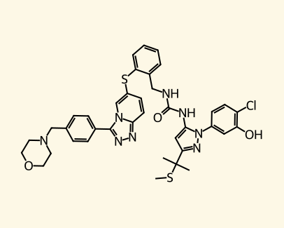 CSC(C)(C)c1cc(NC(=O)NCc2ccccc2Sc2ccc3nnc(-c4ccc(CN5CCOCC5)cc4)n3c2)n(-c2ccc(Cl)c(O)c2)n1